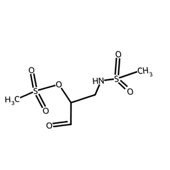 CS(=O)(=O)NCC(C=O)OS(C)(=O)=O